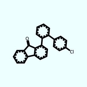 O=C1c2ccccc2-c2cccc(-c3ccccc3-c3ccc(Cl)cc3)c21